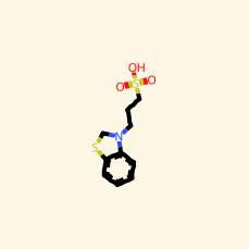 O=S(=O)(O)CCCN1CSc2ccccc21